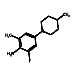 Cc1cc(N2CCC(C)CC2)cc(F)c1N